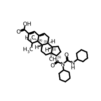 CC1CC(C(=O)O)=CC2=CC[C@H]3[C@@H]4CC[C@H](C(=O)N(C(=O)NC5CCCCC5)C5CCCCC5)[C@@]4(C)CC[C@@H]3[C@]21C